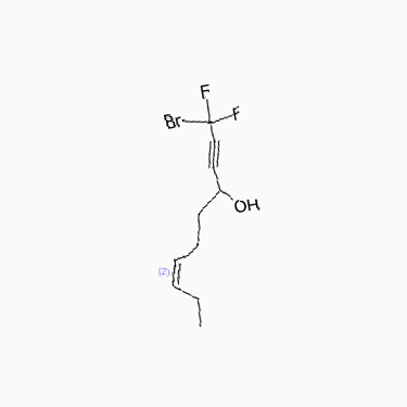 CC/C=C\CCC(O)C#CC(F)(F)Br